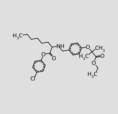 CCCCCCC(NCc1ccc(OC(C)(C)C(=O)OCC)cc1)C(=O)Oc1ccc(Cl)cc1